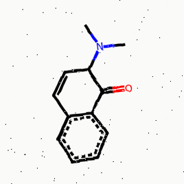 CN(C)C1C=Cc2ccccc2C1=O